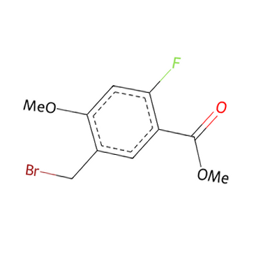 COC(=O)c1cc(CBr)c(OC)cc1F